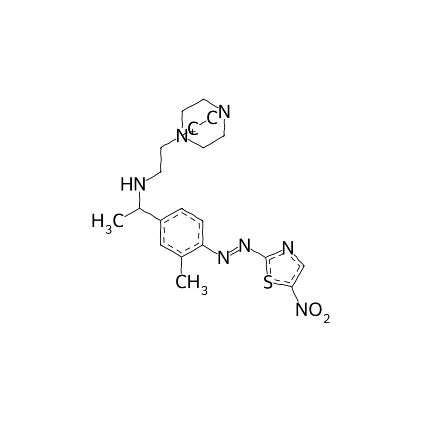 Cc1cc(C(C)NCC[N+]23CCN(CC2)CC3)ccc1N=Nc1ncc([N+](=O)[O-])s1